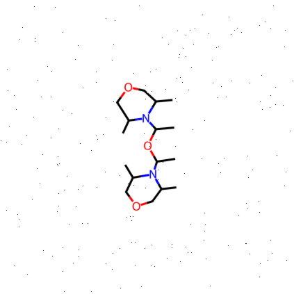 CC1COCC(C)N1C(C)OC(C)N1C(C)COCC1C